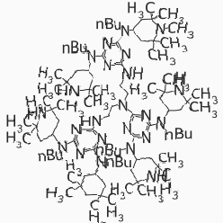 CCCCN(c1nc(NCCN(CCNc2nc(N(CCCC)C3CC(C)(C)NC(C)(C)C3)nc(N(CCCC)C3CC(C)(C)N(C)C(C)(C)C3)n2)c2nc(N(CCCC)C3CC(C)(C)NC(C)(C)C3)nc(N(CCCC)C3CC(C)(C)NC(C)(C)C3)n2)nc(N(CCCC)C2CC(C)(C)NC(C)(C)C2)n1)C1CC(C)(C)CC(C)(C)C1